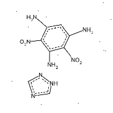 Nc1cc(N)c([N+](=O)[O-])c(N)c1[N+](=O)[O-].c1nc[nH]n1